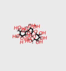 OC[C@H]1O[C@@H](O[C@H]2[C@H](O)[C@@H](O)C(O)(C3O[C@H](CO)[C@@H](O)[C@H](O)[C@H]3O)O[C@@H]2CO)[C@H](O)[C@@H](O)[C@H]1O